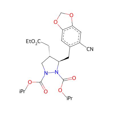 CCOC(=O)C[C@H]1CN(C(=O)OC(C)C)N(C(=O)OC(C)C)[C@@H]1Cc1cc2c(cc1C#N)OCO2